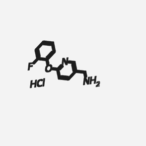 Cl.NCc1ccc(Oc2ccccc2F)nc1